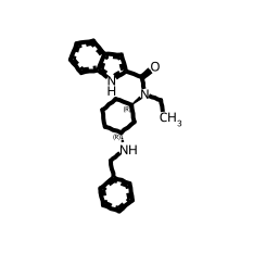 CCN(C(=O)c1cc2ccccc2[nH]1)[C@@H]1CCC[C@@H](NCc2ccccc2)C1